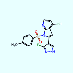 Cc1ccc(S(=O)(=O)n2c(-c3c[nH]nc3F)cc3c(Cl)ccnc32)cc1